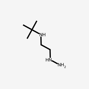 CC(C)(C)NCCNN